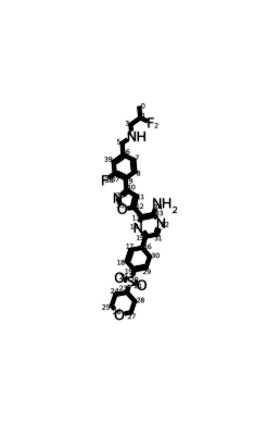 CC(F)CNCc1ccc(-c2cc(-c3nc(C4C=CC(S(=O)(=O)C5CCOCC5)=CC4)cnc3N)on2)c(F)c1